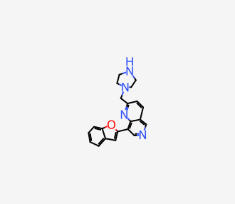 c1ccc2oc(-c3cncc4ccc(CN5CCNCC5)nc34)cc2c1